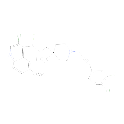 COc1ccc2ncc(Cl)c(C(F)CCC3(C(=O)O)CCN(CC#Cc4ccc(Cl)c(F)c4)CC3)c2c1